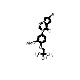 COc1cc(-n2cnn3cc(Br)cc3c2=O)ccc1OCC(C)(C)O